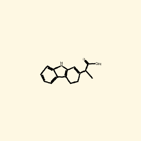 CC(C(=O)O)C1=Cc2[nH]c3ccccc3c2CC1